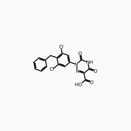 O=C(O)c1nn(-c2cc(Cl)c(Cc3ccccc3)c(Cl)c2)c(=O)[nH]c1=O